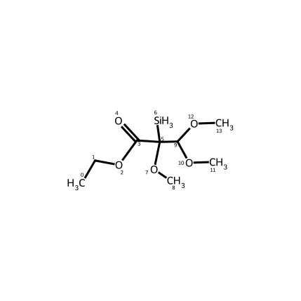 CCOC(=O)C([SiH3])(OC)C(OC)OC